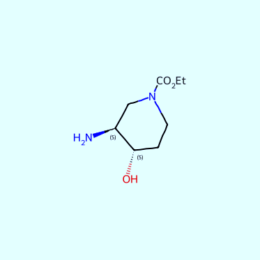 CCOC(=O)N1CC[C@H](O)[C@@H](N)C1